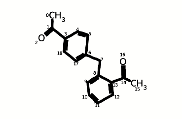 CC(=O)c1ccc(Cc2cc[c]cc2C(C)=O)cc1